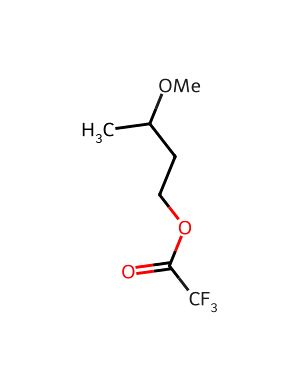 COC(C)CCOC(=O)C(F)(F)F